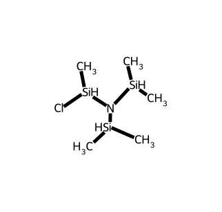 C[SiH](C)N([SiH](C)C)[SiH](C)Cl